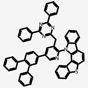 c1ccc(-c2nc(Cc3cc(-c4ccc(-c5ccccc5)c(-c5ccccc5)c4)cnc3-n3c4ccccc4c4ccc5sc6ccccc6c5c43)nc(-c3ccccc3)n2)cc1